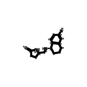 O=C1CCC(CN[C@H]2CCCc3cc(Br)ccc32)N1